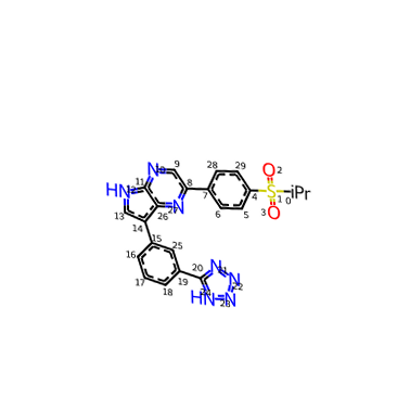 CC(C)S(=O)(=O)c1ccc(-c2cnc3[nH]cc(-c4cccc(-c5nnn[nH]5)c4)c3n2)cc1